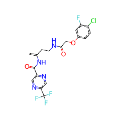 C=C(CCNC(=O)COc1ccc(Cl)c(F)c1)NC(=O)c1cnc(C(F)(F)F)cn1